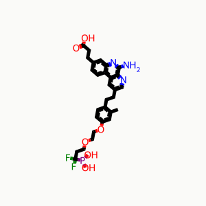 Cc1cc(OCCOCCC(F)(F)P(O)O)ccc1CCc1cnc2c(N)nc3cc(CCC(=O)O)ccc3c2c1